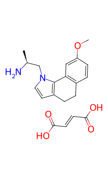 COc1ccc2c(c1)-c1c(ccn1C[C@H](C)N)CC2.O=C(O)C=CC(=O)O